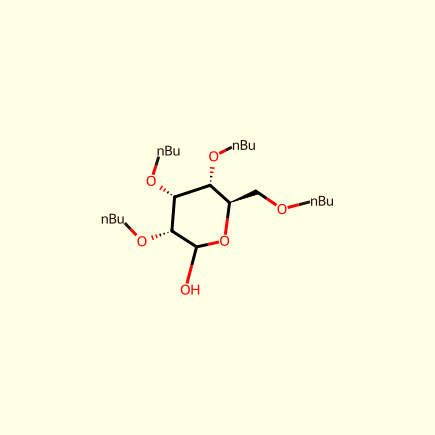 CCCCOC[C@H]1OC(O)[C@H](OCCCC)[C@H](OCCCC)[C@@H]1OCCCC